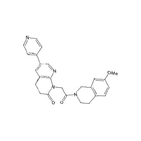 COc1ccc2c(c1)CN(C(=O)CN1C(=O)CCc3cc(-c4ccncc4)cnc31)CC2